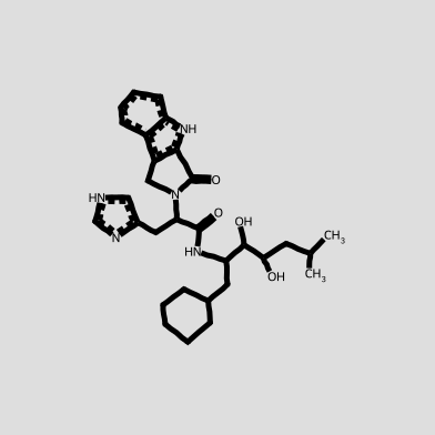 CC(C)CC(O)C(O)C(CC1CCCCC1)NC(=O)C(Cc1c[nH]cn1)N1Cc2c([nH]c3ccccc23)C1=O